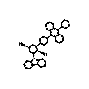 N#Cc1cc(-c2ccc(-c3c4ccccc4c(-c4ccccc4)c4ccccc34)cc2)c(C#N)c(-n2c3ccccc3c3ccccc32)c1